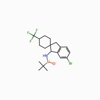 CC(C)(C)[S+]([O-])NC1c2cc(Br)ccc2CC12CCC(C(F)(F)F)CC2